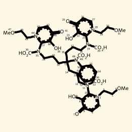 COCCn1ccc(=O)c(O)c1N(CCCC(CCCN(C(=O)O)c1c(O)c(=O)ccn1CCOC)(CCCN(C(=O)O)c1c(O)c(=O)ccn1CCOC)N(C(=O)O)c1ccccc1)C(=O)O